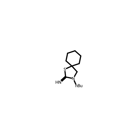 CCCCN1CC2(CCCCC2)SC1=N